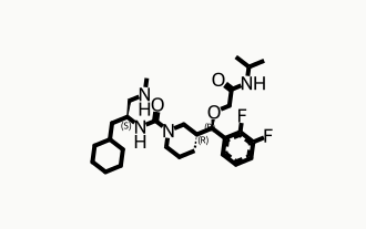 CNC[C@H](CC1CCCCC1)NC(=O)N1CCC[C@@H]([C@@H](OCC(=O)NC(C)C)c2cccc(F)c2F)C1